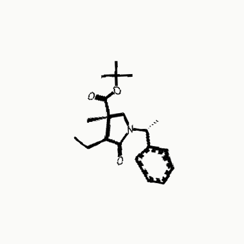 CCC1C(=O)N([C@H](C)c2ccccc2)C[C@@]1(C)C(=O)OC(C)(C)C